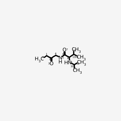 CCC(=O)CNC(=O)C(NC(C)C)C(C)C